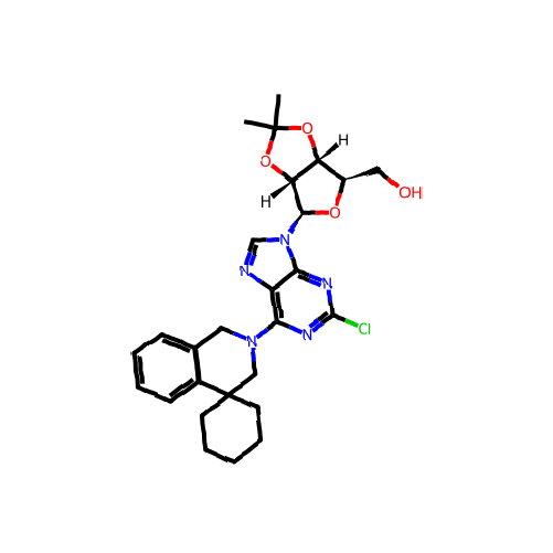 CC1(C)O[C@@H]2[C@H](O1)[C@@H](CO)O[C@H]2n1cnc2c(N3Cc4ccccc4C4(CCCCC4)C3)nc(Cl)nc21